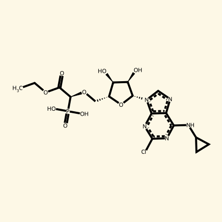 CCOC(=O)[C@@H](OC[C@H]1O[C@@H](n2cnc3c(NC4CC4)nc(Cl)nc32)[C@H](O)[C@@H]1O)P(=O)(O)O